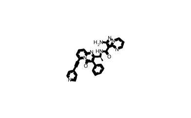 C[C@H](NC(=O)c1c(N)nn2cccnc12)c1nc2cccc(C#Cc3ccncc3)n2c(=O)c1-c1ccccc1